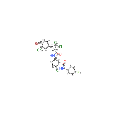 O=C(Nc1ccc(F)cc1)c1cc(NC(=O)[C@@H]2[C@@H](c3ccc(Br)c(Cl)c3)C2(Cl)Cl)ccc1Cl